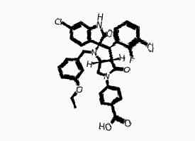 CCOc1cccc(CN2[C@H]3CN(c4ccc(C(=O)O)cc4)C(=O)[C@H]3[C@H](c3cccc(Cl)c3F)[C@]23C(=O)Nc2cc(Cl)ccc23)c1